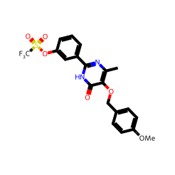 COc1ccc(COc2c(C)nc(-c3cccc(OS(=O)(=O)C(F)(F)F)c3)[nH]c2=O)cc1